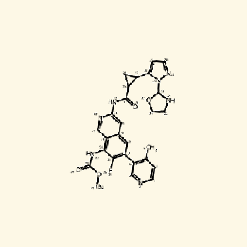 Cc1ccncc1-c1cc2cc(NC(=O)C3CC3c3ccnn3C3NCCO3)ncc2c(NC(=O)OC(C)(C)C)c1F